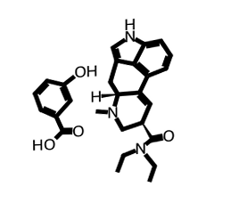 CCN(CC)C(=O)[C@@H]1C=C2c3cccc4[nH]cc(c34)C[C@H]2N(C)C1.O=C(O)c1cccc(O)c1